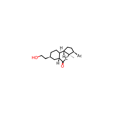 CC(=O)[C@@H]1CC[C@H]2[C@@H]3CC[C@H](CCO)C[C@H]3C(=O)C[C@]12C